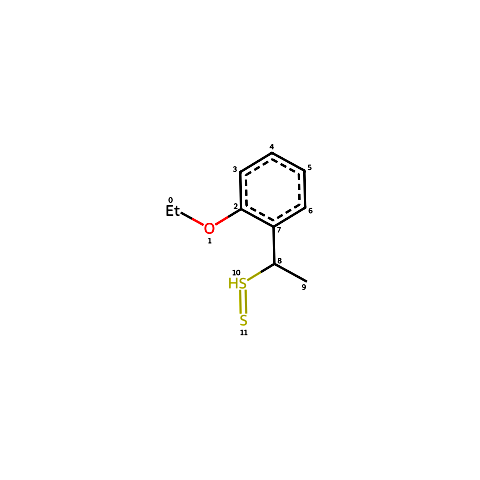 CCOc1ccccc1C(C)[SH]=S